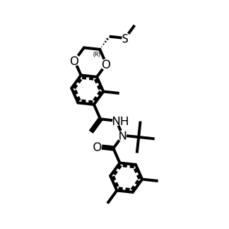 C=C(NN(C(=O)c1cc(C)cc(C)c1)C(C)(C)C)c1ccc2c(c1C)O[C@@H](CSC)CO2